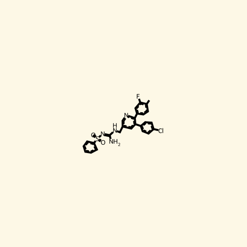 Cc1ccc(-c2ncc(CN/C(N)=N/S(=O)(=O)c3ccccc3)cc2-c2ccc(Cl)cc2)cc1F